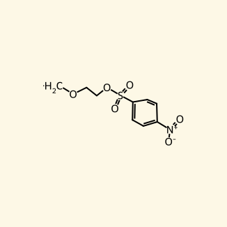 [CH2]OCCOS(=O)(=O)c1ccc([N+](=O)[O-])cc1